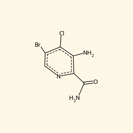 NC(=O)c1ncc(Br)c(Cl)c1N